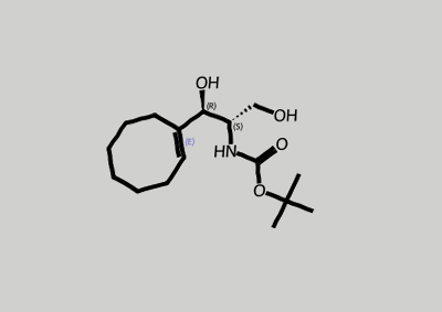 CC(C)(C)OC(=O)N[C@@H](CO)[C@H](O)/C1=C/CCCCCC1